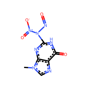 Cn1cnc2c(=O)[nH]c(N(N=O)[N+](=O)[O-])nc21